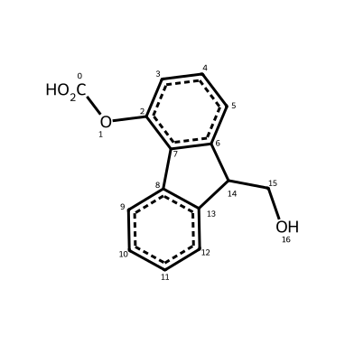 O=C(O)Oc1cccc2c1-c1ccccc1C2CO